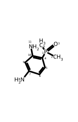 CP(C)(=O)c1ccc(N)cc1N